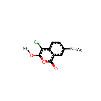 CCOc1oc(=O)c2cc(NC(C)=O)ccc2c1Cl